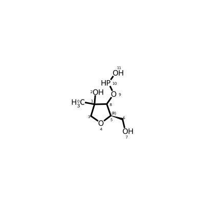 CC1(O)CO[C@H](CO)C1OPO